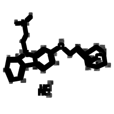 CN(C)CCn1c2ccccc2c2ccc(OCC=C3CN4CCC3CC4)cc21.Cl.Cl